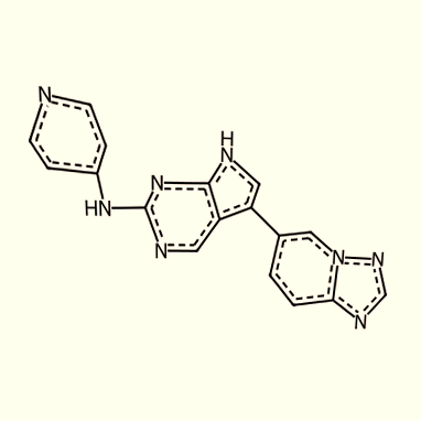 c1cc(Nc2ncc3c(-c4ccc5ncnn5c4)c[nH]c3n2)ccn1